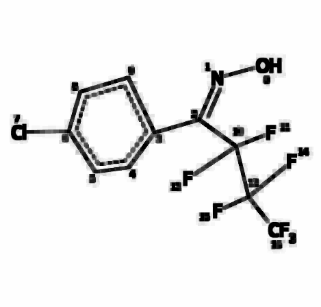 ON=C(c1ccc(Cl)cc1)C(F)(F)C(F)(F)C(F)(F)F